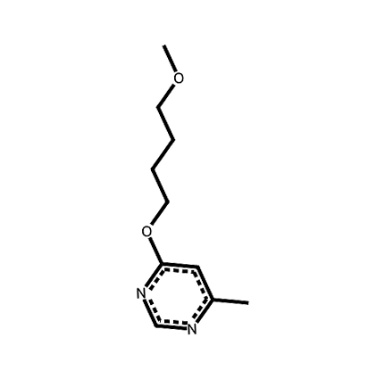 COCCCCOc1cc(C)ncn1